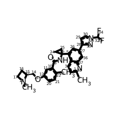 Cc1ccc2c(C3(NC(=O)c4cc(OC[C@@H]5CCN5C)ccc4C)CC3)cc(-c3ccn(C(F)F)n3)cc2n1